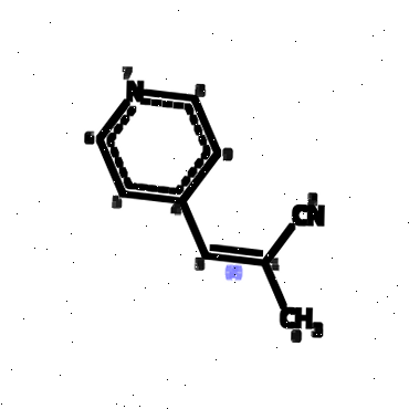 C/C(C#N)=C/c1ccncc1